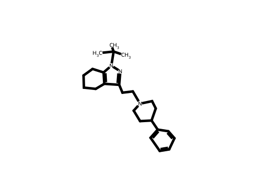 CC(C)(C)n1nc(CCN2CCC(c3ccccc3)CC2)c2c1CCCC2